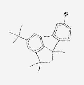 CC(C)(C)c1cc2c(c(C(C)(C)C)c1)C(C)(C)c1ccc(Br)cc1-2